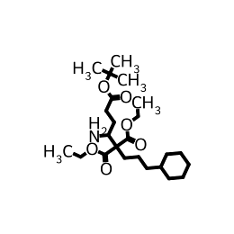 CCOC(=O)C(CCCC1CCCCC1)(C(=O)OCC)C(N)CCC(=O)OC(C)(C)C